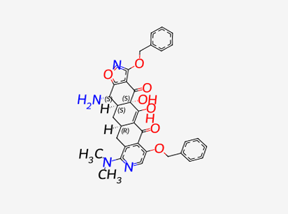 CN(C)c1ncc(OCc2ccccc2)c2c1C[C@H]1C[C@H]3[C@H](N)c4onc(OCc5ccccc5)c4C(=O)[C@@]3(O)C(O)=C1C2=O